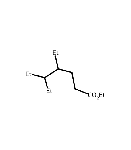 CCOC(=O)CCC(CC)C(CC)CC